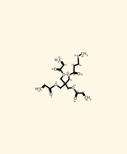 C=CC(=O)OCC(COC(=O)C=C)(COC(=O)C=C)COC(=O)CCSC